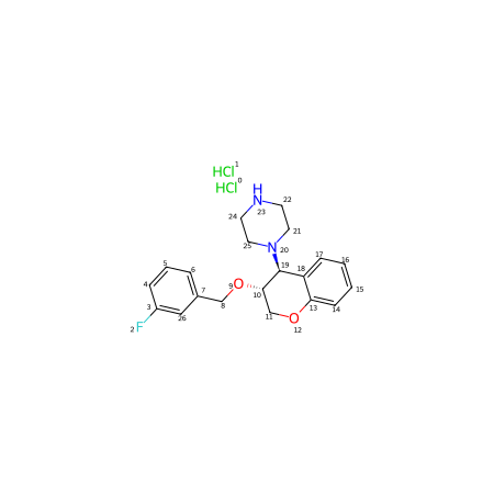 Cl.Cl.Fc1cccc(CO[C@H]2COc3ccccc3[C@@H]2N2CCNCC2)c1